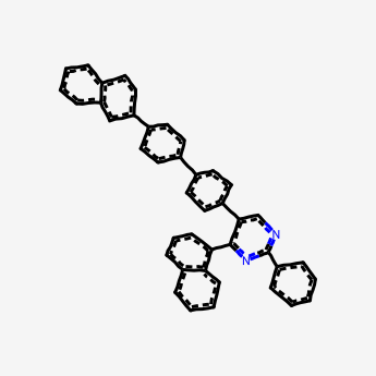 c1ccc(-c2ncc(-c3ccc(-c4ccc(-c5ccc6ccccc6c5)cc4)cc3)c(-c3cccc4ccccc34)n2)cc1